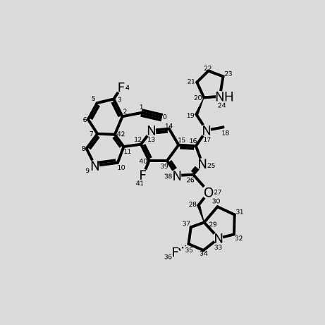 C#Cc1c(F)ccc2cncc(-c3ncc4c(N(C)C[C@H]5CCCN5)nc(OC[C@@]56CCCN5C[C@H](F)C6)nc4c3F)c12